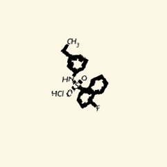 CCc1cccc(NS(=O)(=O)c2ccc(F)c3ccccc23)c1.Cl